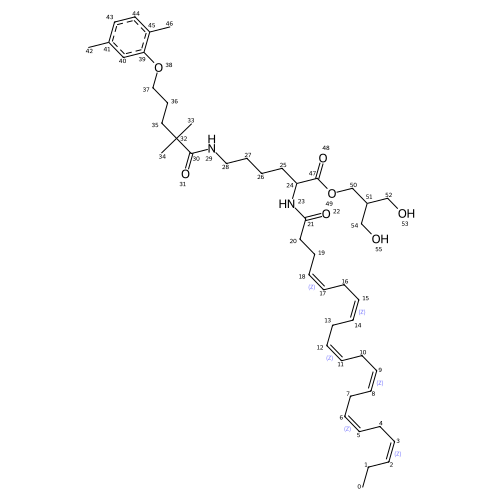 CC/C=C\C/C=C\C/C=C\C/C=C\C/C=C\C/C=C\CCC(=O)NC(CCCCNC(=O)C(C)(C)CCCOc1cc(C)ccc1C)C(=O)OCC(CO)CO